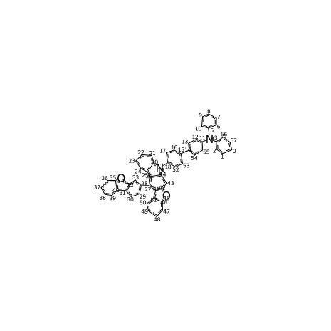 c1ccc(N(c2ccccc2)c2ccc(-c3ccc(-n4c5ccccc5c5c(-c6ccc7c(c6)oc6ccccc67)c6c(cc54)oc4ccccc46)cc3)cc2)cc1